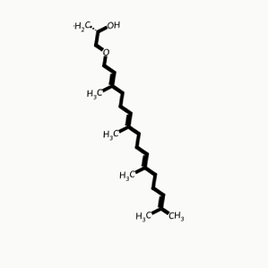 [CH2][C@H](O)COC/C=C(\C)CC/C=C(\C)CC/C=C(\C)CCC=C(C)C